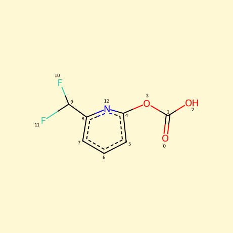 O=C(O)Oc1cccc(C(F)F)n1